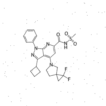 CS(=O)(=O)NC(=O)c1cc(N2CCC3(C2)CC3(F)F)c2c(C3CCC3)nn(-c3ccccc3)c2n1